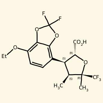 CCOc1ccc([C@H]2[C@H](C(=O)O)O[C@@](C)(C(F)(F)F)[C@H]2C)c2c1OC(F)(F)O2